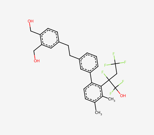 Cc1ccc(-c2cccc(CCc3ccc(CO)c(CO)c3)c2)c(C(F)(CC(F)(F)F)C(O)(F)F)c1C